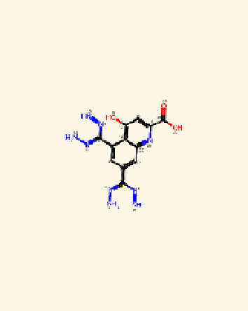 N=NC(=NN)c1cc(C(N=N)=NN)c2c(O)cc(C(=O)O)nc2c1